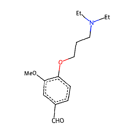 CCN(CC)CCCOc1ccc(C=O)cc1OC